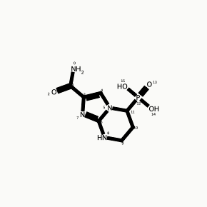 NC(=O)c1cn2c(n1)NCCC2P(=O)(O)O